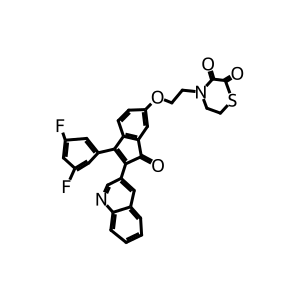 O=C1SCCN(CCOc2ccc3c(c2)C(=O)C(c2cnc4ccccc4c2)=C3c2cc(F)cc(F)c2)C1=O